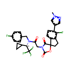 Cn1cc(-c2ccc3c(c2F)CCC32OC(=O)N(CC(=O)N(Cc3ccc(F)cc3)[C@@H](C3CC3)C(F)(F)F)C2=O)cn1